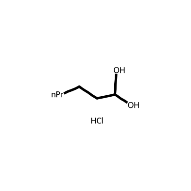 CCCCCC(O)O.Cl